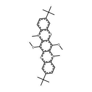 COc1c2sc3cc(C(C)(C)C)ccc3n(C)c2c(OC)c2sc3cc(C(C)(C)C)ccc3n(C)c12